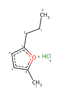 CC[CH]c1ccc(C)o1.Cl